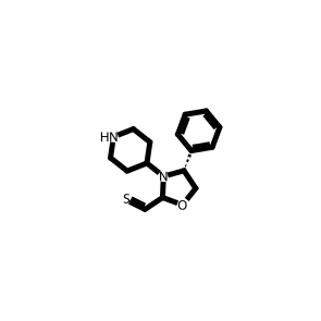 S=CC1OC[C@@H](c2ccccc2)N1C1CCNCC1